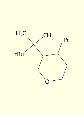 CC(C)C1CCOCC1C(C)(C)C(C)(C)C